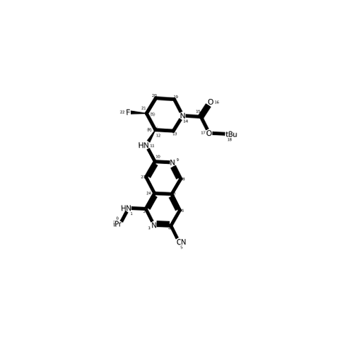 CC(C)Nc1nc(C#N)cc2cnc(N[C@@H]3CN(C(=O)OC(C)(C)C)CC[C@@H]3F)cc12